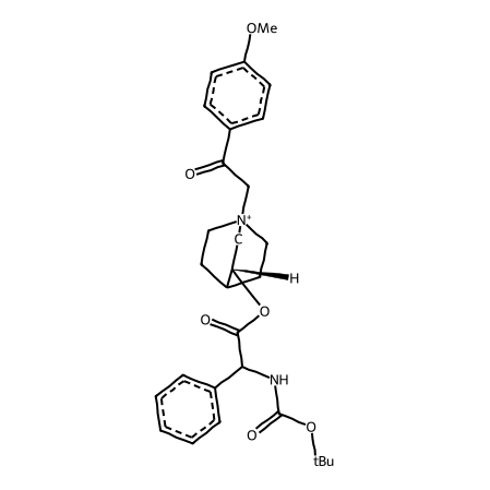 COc1ccc(C(=O)C[N+]23CCC(CC2)[C@@H](OC(=O)C(NC(=O)OC(C)(C)C)c2ccccc2)C3)cc1